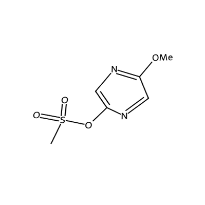 COc1cnc(OS(C)(=O)=O)cn1